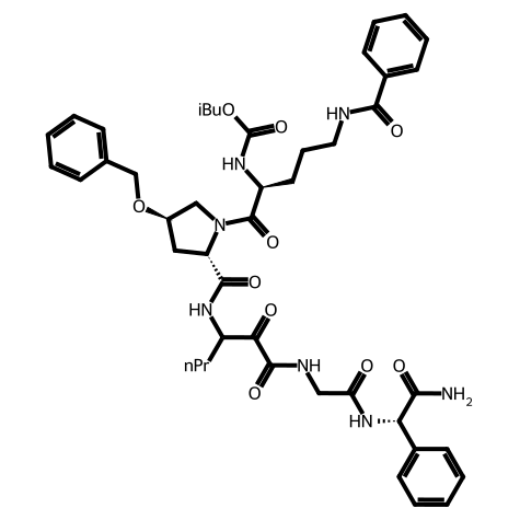 CCCC(NC(=O)[C@@H]1C[C@@H](OCc2ccccc2)CN1C(=O)[C@H](CCCNC(=O)c1ccccc1)NC(=O)OCC(C)C)C(=O)C(=O)NCC(=O)N[C@H](C(N)=O)c1ccccc1